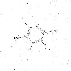 Cc1cc(C=O)c(C)c(C)c1[SiH3]